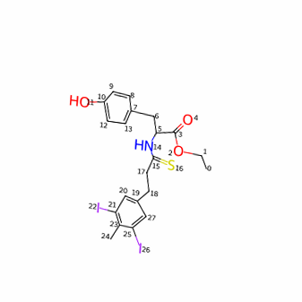 CCOC(=O)C(Cc1ccc(O)cc1)NC(=S)CCc1cc(I)c(C)c(I)c1